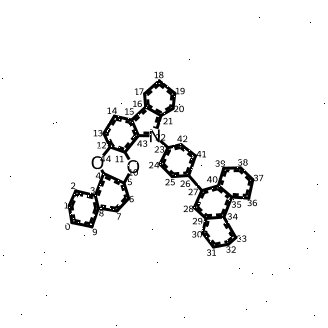 c1ccc2c3c(ccc2c1)Oc1c(ccc2c4ccccc4n(-c4ccc(-c5cc6ccccc6c6ccccc56)cc4)c12)O3